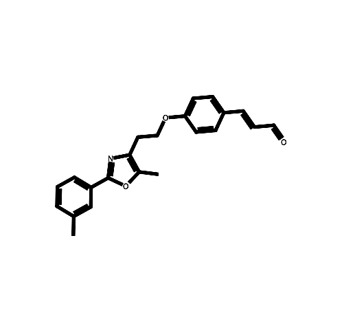 Cc1cccc(-c2nc(CCOc3ccc(C=CC=O)cc3)c(C)o2)c1